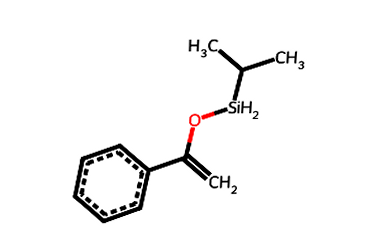 C=C(O[SiH2]C(C)C)c1ccccc1